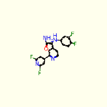 Nc1oc2c(-c3cc(F)nc(F)c3)nccc2c1Nc1ccc(F)c(F)c1